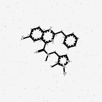 CCn1ncc(CN(C)C(=O)c2nc(Cc3ccccc3)nc3ccc(Cl)cc23)c1C